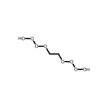 OOOOCCOOOO